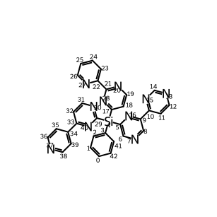 c1ccc([Si](c2cncc(-c3ccncn3)n2)(c2ccnc(-c3ccccn3)n2)c2nccc(-c3ccncc3)n2)cc1